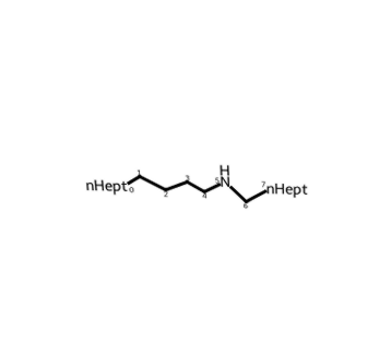 CCCCCCCCCCCNCCCCCCCC